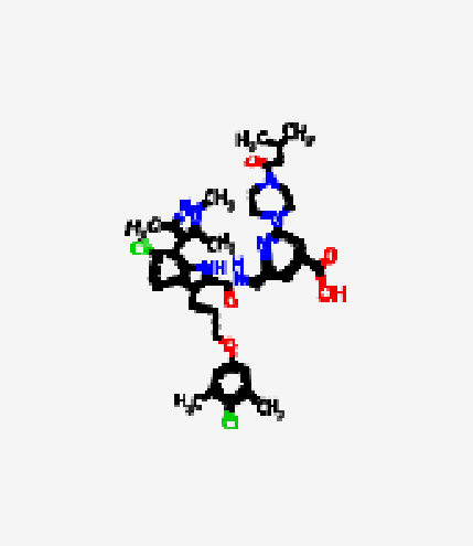 Cc1cc(OCCCc2c(C(=O)NCc3cc(C(=O)O)cc(N4CCN(C(=O)CC(C)C)CC4)n3)[nH]c3c(-c4c(C)nn(C)c4C)c(Cl)ccc23)cc(C)c1Cl